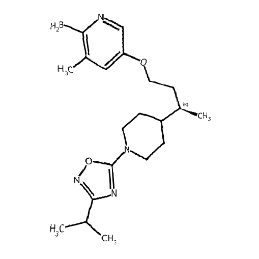 Bc1ncc(OCC[C@@H](C)C2CCN(c3nc(C(C)C)no3)CC2)cc1C